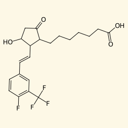 O=C(O)CCCCCCC1C(=O)CC(O)C1/C=C/c1ccc(F)c(C(F)(F)F)c1